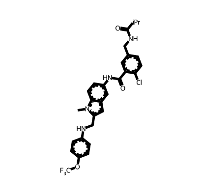 CC(C)C(=O)NCc1ccc(Cl)c(C(=O)Nc2ccc3c(c2)cc(CNc2ccc(OC(F)(F)F)cc2)n3C)c1